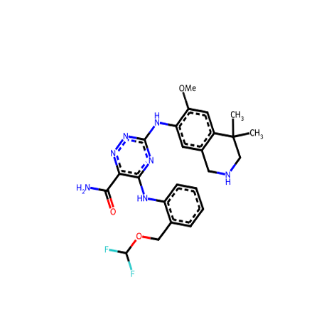 COc1cc2c(cc1Nc1nnc(C(N)=O)c(Nc3ccccc3COC(F)F)n1)CNCC2(C)C